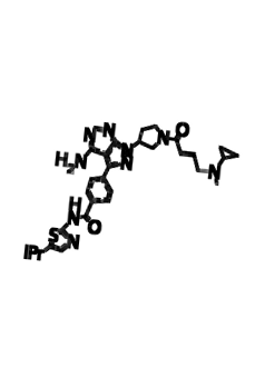 CC(C)c1cnc(NC(=O)c2ccc(-c3nn(C4CCN(C(=O)/C=C/CN(C)C5CC5)C4)c4ncnc(N)c34)cc2)s1